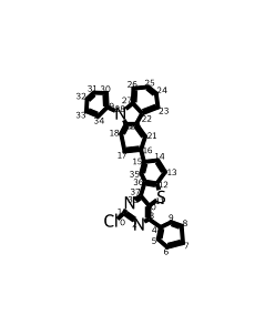 Clc1nc(-c2ccccc2)c2sc3ccc(-c4ccc5c(c4)c4ccccc4n5-c4ccccc4)cc3c2n1